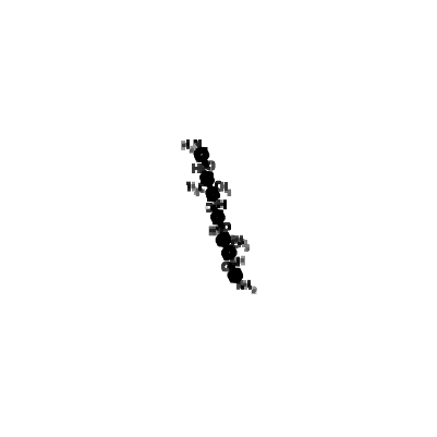 Cc1cc(NC(=O)C2=CC=C(N)CC2)ccc1-c1ccc(NC(=O)c2ccc(C(=O)Nc3ccc(-c4ccc(NC(=O)c5ccc(N)cc5)cc4C)c(C)c3)cc2)cc1C